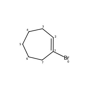 BrC1=CCCCCC1